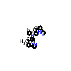 CC1(C)c2cc(N(c3ccccc3)c3ccc4c(c3)C(C)(C)c3cccc5c6cccnc6n-4c35)ccc2-n2c3ncccc3c3cccc1c32